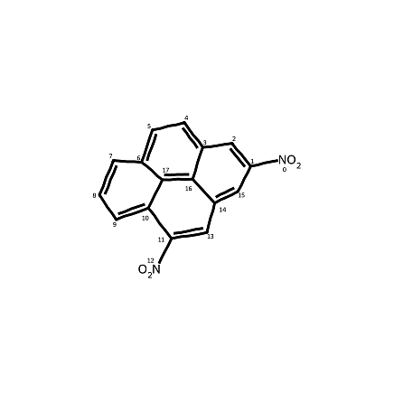 O=[N+]([O-])c1cc2ccc3cccc4c([N+](=O)[O-])cc(c1)c2c34